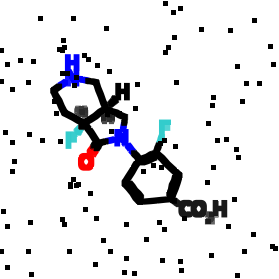 O=C(O)c1ccc(N2C[C@H]3CNCC[C@@]3(F)C2=O)c(F)c1